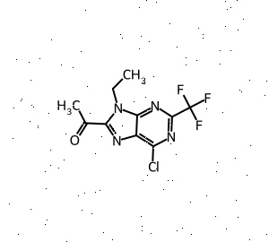 CCn1c(C(C)=O)nc2c(Cl)nc(C(F)(F)F)nc21